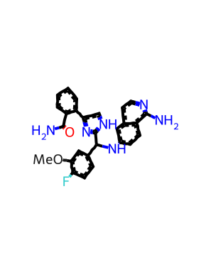 COc1cc(C(Nc2ccc3c(N)nccc3c2)c2nc(-c3ccccc3C(N)=O)c[nH]2)ccc1F